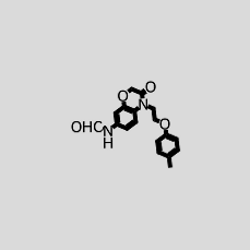 Cc1ccc(OCCN2C(=O)COc3cc(NC=O)ccc32)cc1